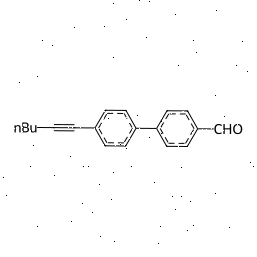 CCCCC#Cc1ccc(-c2ccc(C=O)cc2)cc1